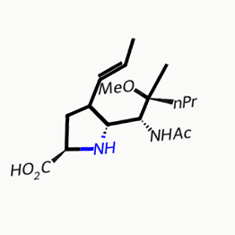 CC=CC1C[C@H](C(=O)O)N[C@H]1[C@@H](NC(C)=O)[C@](C)(CCC)OC